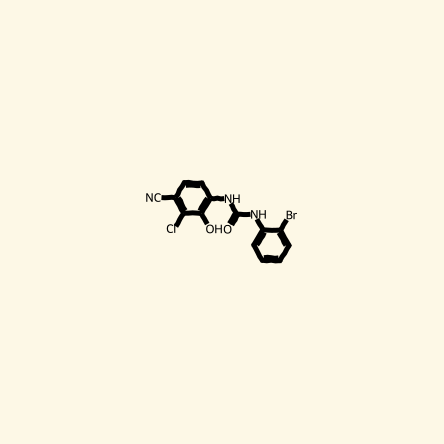 N#Cc1ccc(NC(=O)Nc2ccccc2Br)c(O)c1Cl